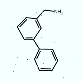 NCc1[c]c(-c2ccccc2)ccc1